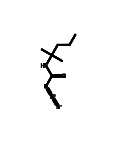 CCCC(C)(C)NC(=O)N=[N+]=[N-]